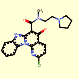 CN(CCN1CCCC1)C(=O)c1c(=O)c2ccc(Cl)nc2n2c1[nH]c1ccccc12